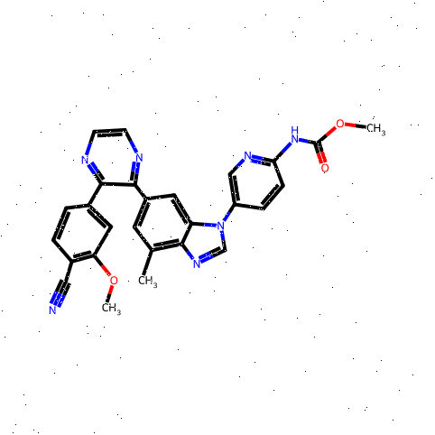 COC(=O)Nc1ccc(-n2cnc3c(C)cc(-c4nccnc4-c4ccc(C#N)c(OC)c4)cc32)cn1